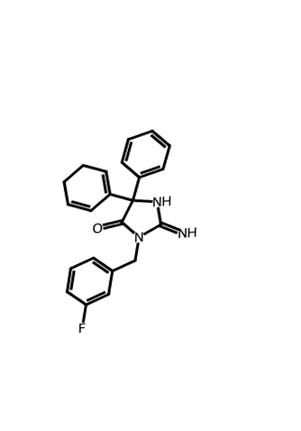 N=C1NC(C2=CCCC=C2)(c2ccccc2)C(=O)N1Cc1cccc(F)c1